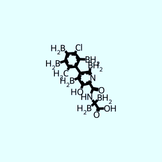 Bc1nc(C(=O)NC(B)(B)C(=O)O)c(O)c(B)c1-c1c(B)c(Cl)c(B)c(B)c1C